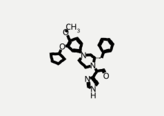 COc1ccc(N2CCN(C(C=O)c3c[nH]cn3)[C@@H](Cc3ccccc3)C2)cc1OC1CCCC1